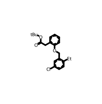 CCc1ccc(Cl)cc1COc1ccccc1CC(=O)OC(C)(C)C